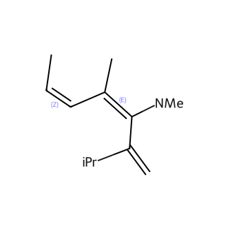 C=C(/C(NC)=C(C)\C=C/C)C(C)C